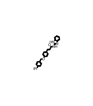 CC(C)c1ccc(COc2ccc(/C=C/C(=O)Nc3nc4ccccc4[nH]3)cc2)cc1